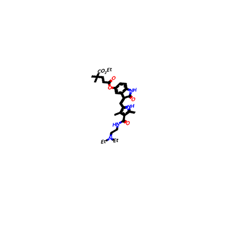 CCOC(=O)C(C)(C)CCC(=O)Oc1ccc2c(c1)/C(=C/c1[nH]c(C)c(C(=O)NCCN(CC)CC)c1C)C(=O)N2